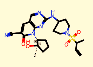 C=CC(C)S(=O)(=O)N1CCC(Nc2ncc3cc(C#N)c(=O)n([C@@H]4CCC[C@@]4(C)O)c3n2)CC1